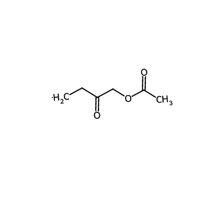 [CH2]CC(=O)COC(C)=O